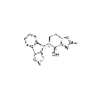 Cn1cc2c(n1)[C@@H](O)[C@@H]([C@@H]1c3ccccc3-c3cncn31)CC2